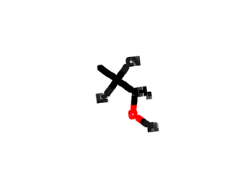 CCO[SiH2]C(C)(C#N)CC